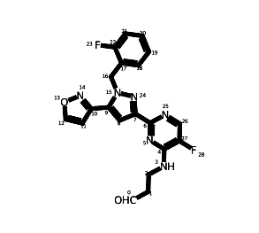 O=CCCNc1nc(-c2cc(-c3ccon3)n(Cc3ccccc3F)n2)ncc1F